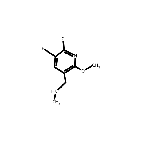 CNCc1cc(F)c(Cl)nc1OC